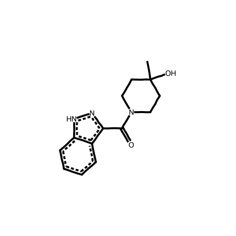 CC1(O)CCN(C(=O)c2n[nH]c3ccccc23)CC1